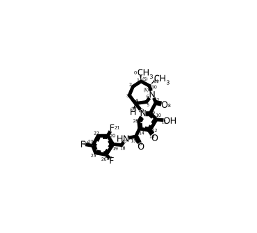 C[C@H]1CC[C@H]2CN(C(=O)c3c(O)c(=O)c(C(=O)NCc4c(F)cc(F)cc4F)cn32)[C@H]1C